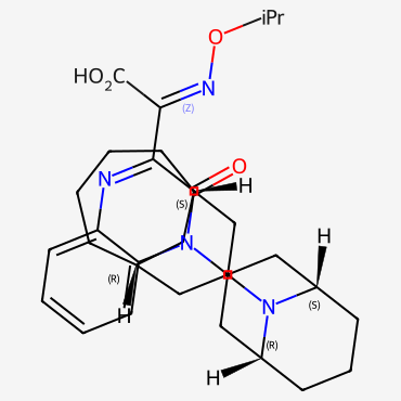 CC(C)O/N=C(\C(=O)O)c1nc2ccccc2n(C2C[C@H]3CCC[C@@H](C2)N3C2C[C@H]3CCCC[C@@H](C2)C3)c1=O